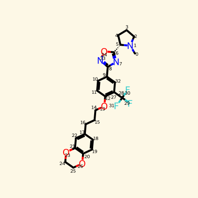 CN1CCC[C@H]1c1nc(-c2ccc(OCCCc3ccc4c(c3)OCCO4)c(C(F)(F)F)c2)no1